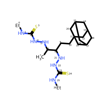 CCNC(=S)NNC(C)C(CCC12CC3CC(CC(C3)C1)C2)NNC(=S)NCC